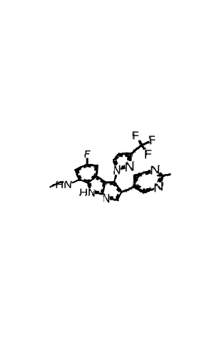 CCNc1cc(F)cc2c1[nH]c1ncc(-c3cnc(C)nc3)c(-n3ccc(C(F)(F)F)n3)c12